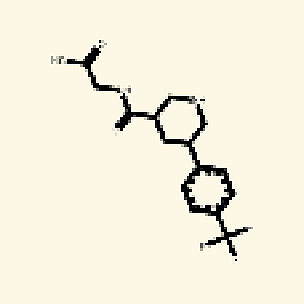 O=C(O)CNC(=O)C1CNCC(c2ccc(C(F)(F)F)cc2)C1